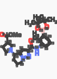 COC(=O)[C@@H]1CCN([C@H]2CCCn3nc(C(=O)Nc4cccc(B5OC(C)(C)C(C)(C)O5)c4C)cc32)C1